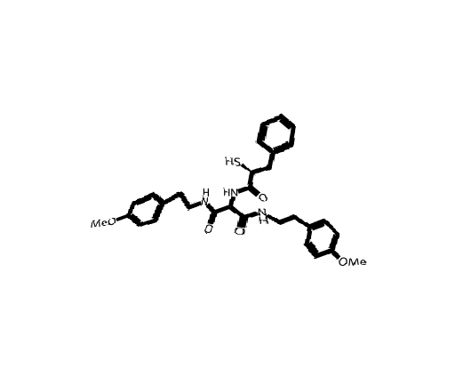 COc1ccc(CCNC(=O)C(NC(=O)[C@@H](S)Cc2ccccc2)C(=O)NCCc2ccc(OC)cc2)cc1